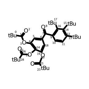 CC(C)(C)C(=O)Oc1cc(C(=O)c2ccc(C(C)(C)C)c(C(C)(C)C)c2C(C)(C)C)cc(OC(=O)C(C)(C)C)c1OC(=O)C(C)(C)C